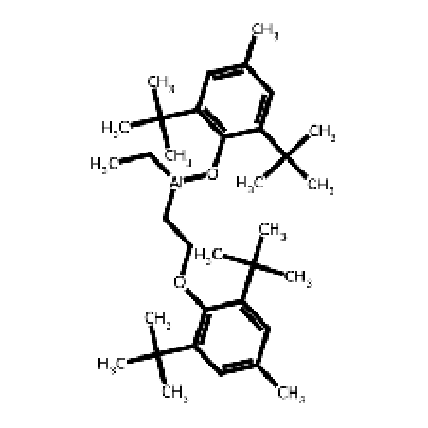 C[CH2][Al]([CH2]COc1c(C(C)(C)C)cc(C)cc1C(C)(C)C)[O]c1c(C(C)(C)C)cc(C)cc1C(C)(C)C